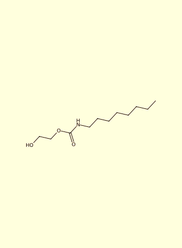 CCCCCCCCNC(=O)OCCO